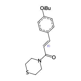 CC(C)COc1ccc(/C=C/C(=O)N2CCSCC2)cc1